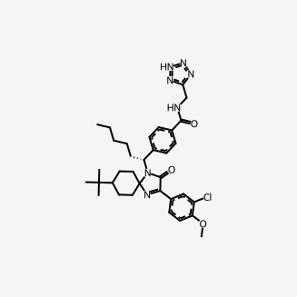 CCCCC[C@H](c1ccc(C(=O)NCc2nn[nH]n2)cc1)N1C(=O)C(c2ccc(OC)c(Cl)c2)=NC12CCC(C(C)(C)C)CC2